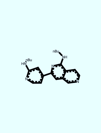 CCCCNc1cc(-c2cc3cnccc3c(NCCCC)n2)ccn1